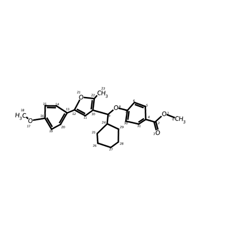 COC(=O)c1ccc(OC(c2cc(-c3ccc(OC)cc3)oc2C)C2CCCCC2)cc1